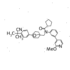 COc1cc(-c2cccc(N(CC34CCC(c5ccc(C(C)(C)C#N)cc5)(CC3)OC4)C(=O)C3CCCC3)c2)ccn1